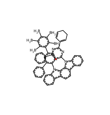 Bc1c(B)c(B)c(-c2ccc(-n3c4ccccc4c4ccc5c6ccccc6n(-c6nc(C7=CCCC=C7)nc(-c7ccccc7)n6)c5c43)c(-c3ccccc3)c2)c(B)c1B